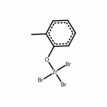 Cc1ccccc1[O][Zr]([Br])([Br])[Br]